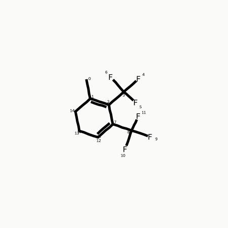 CC1=C(C(F)(F)F)C(C(F)(F)F)=[C][C]C1